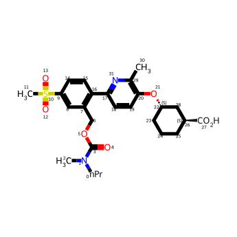 CCCN(C)C(=O)OCc1cc(S(C)(=O)=O)ccc1-c1ccc(O[C@H]2CCC[C@H](C(=O)O)C2)c(C)n1